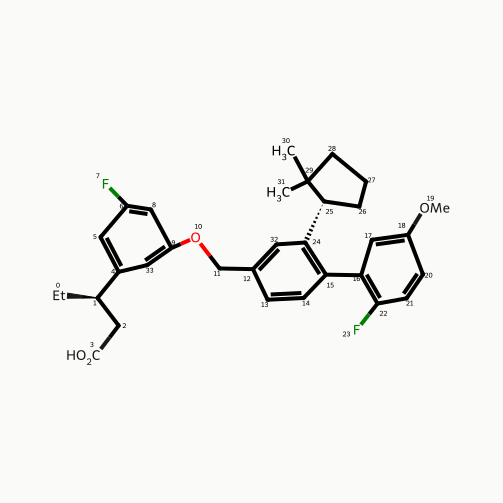 CC[C@H](CC(=O)O)c1cc(F)cc(OCc2ccc(-c3cc(OC)ccc3F)c([C@H]3CCCC3(C)C)c2)c1